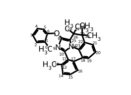 Cc1ccccc1Oc1nc2c3c(C)cccc3c3cccc4c3n2c1C(C)(C)C4(C)C